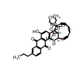 CCCc1ccc2c(c1)C(=O)c1c(O)cc3c(c1C2=O)N[C@H]1C#C/C=C\C#C[C@@H](O)[C@@]32O[C@@]12[C@@H](C)O[Si](CC)(CC)CC